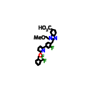 COCCn1c(Cc2ccc(-c3cccc(OCc4ccccc4C(F)F)n3)cc2F)nc2ccc(C(=O)O)cc21